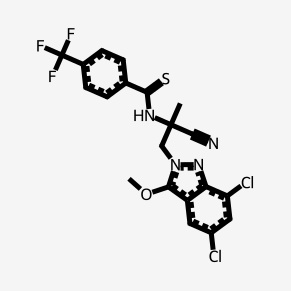 COc1c2cc(Cl)cc(Cl)c2nn1CC(C)(C#N)NC(=S)c1ccc(C(F)(F)F)cc1